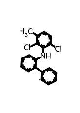 Cc1ccc(Cl)c(Nc2ccccc2-c2[c]cccc2)c1Cl